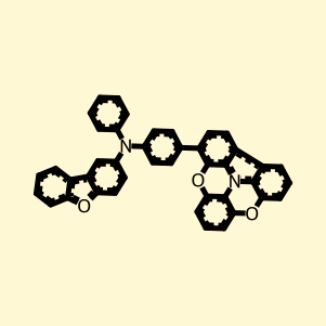 c1ccc(N(c2ccc(-c3ccc4c5cccc6c5n5c4c3Oc3cccc(c3-5)O6)cc2)c2ccc3oc4ccccc4c3c2)cc1